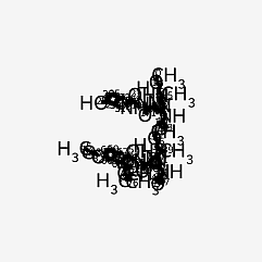 COCCN(C)c1nc(NC2COC2)cc(C(=O)NC[C@@H](O)[C@@H]2Cc3ccc(O)cc3CN2)n1.COCCN(C)c1nc(NC2COC2)cc(C(=O)NC[C@@H](O)[C@@H]2Cc3ccc(OCOC)cc3CN2C(=O)OC(C)(C)C)n1